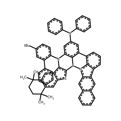 CC(C)(C)c1ccc(N2c3cc(N(c4ccccc4)c4ccccc4)cc4c3B(c3sc5cc6c(cc5c32)C(C)(C)CCC6(C)C)n2c3cc5ccccc5cc3c3cccc-4c32)c(-c2ccccc2)c1